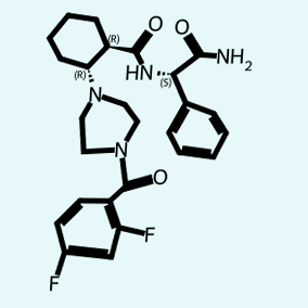 NC(=O)[C@@H](NC(=O)[C@@H]1CCCC[C@H]1N1CCN(C(=O)c2ccc(F)cc2F)CC1)c1ccccc1